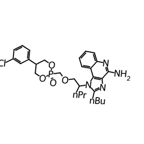 CCCCc1nc2c(N)nc3ccccc3c2n1C(CCC)COCP1(=O)OCC(c2cccc(Cl)c2)CO1